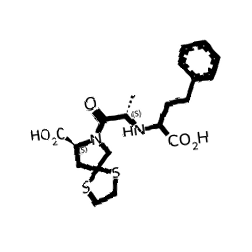 C[C@H](NC(CCc1ccccc1)C(=O)O)C(=O)N1CC2(C[C@H]1C(=O)O)SCCS2